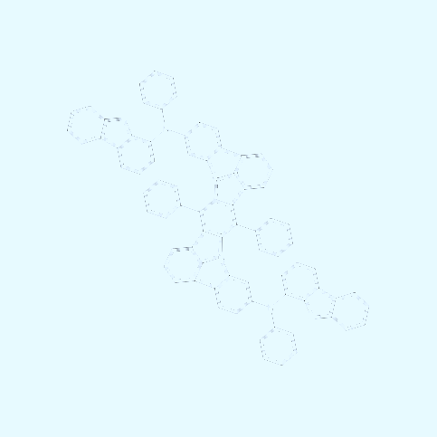 c1ccc(-c2c3c4cccc5c6ccc(N(c7ccccc7)c7cccc8c7oc7ccccc78)cc6n(c3c(-c3ccccc3)c3c6cccc7c8ccc(N(c9ccccc9)c9cccc%10c9oc9ccccc9%10)cc8n(c23)c76)c54)cc1